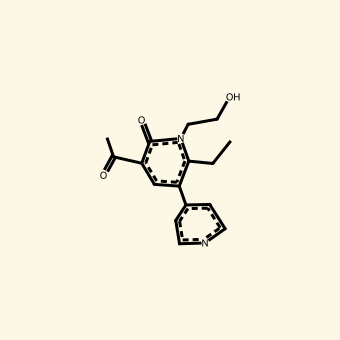 CCc1c(-c2ccncc2)cc(C(C)=O)c(=O)n1CCO